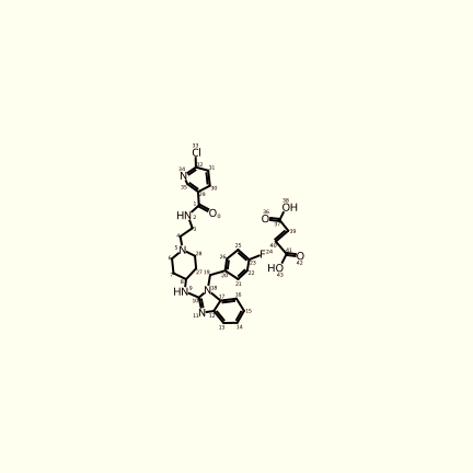 O=C(NCCN1CCC(Nc2nc3ccccc3n2Cc2ccc(F)cc2)CC1)c1ccc(Cl)nc1.O=C(O)/C=C/C(=O)O